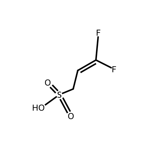 O=S(=O)(O)CC=C(F)F